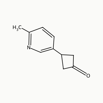 Cc1ccc(C2CC(=O)C2)cn1